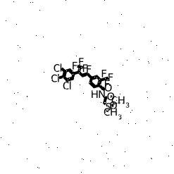 COC(C[S+](C)[O-])NC(=O)c1ccc(/C(F)=C/C(c2cc(Cl)c(Cl)c(Cl)c2)C(F)(F)F)cc1C(F)(F)F